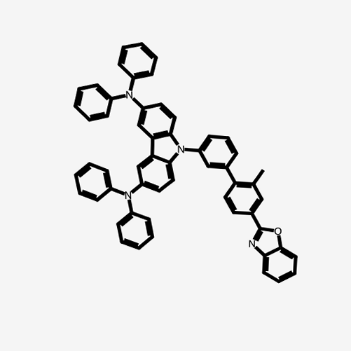 Cc1cc(-c2nc3ccccc3o2)ccc1-c1cccc(-n2c3ccc(N(c4ccccc4)c4ccccc4)cc3c3cc(N(c4ccccc4)c4ccccc4)ccc32)c1